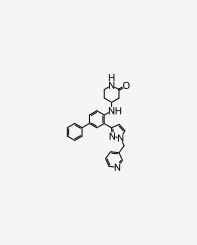 O=C1CC(Nc2ccc(-c3ccccc3)cc2-c2ccn(Cc3cccnc3)n2)CCN1